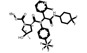 CC(C)(C)OC(=O)N1C[C@](C)(O)C[C@@H]1C(=O)N(c1ccc(S(F)(F)(F)(F)F)cc1)C(C(=O)NC1CCC(F)(F)CC1)c1cccnc1F